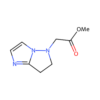 COC(=O)CN1CCc2nccn21